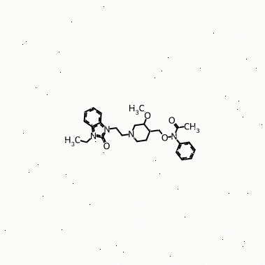 CCn1c(=O)n(CCN2CCC(CON(C(C)=O)c3ccccc3)C(OC)C2)c2ccccc21